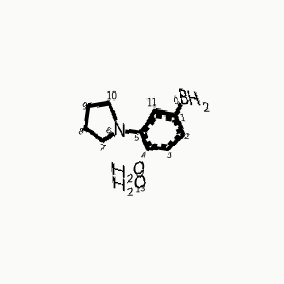 Bc1cccc(N2CCCC2)c1.O.O